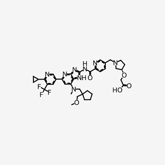 COCC1(CN(C)c2cc(-c3cnc(C4CC4)c(C(F)(F)F)c3)nc3nc(NC(=O)c4ccc(CN5CC[C@@H](OCC(=O)O)C5)cn4)[nH]c23)CCCC1